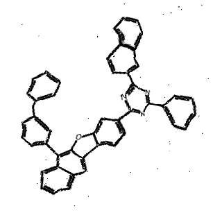 c1ccc(-c2cccc(-c3c4ccccc4cc4c3oc3cc(-c5nc(-c6ccccc6)nc(-c6ccc7ccccc7c6)n5)ccc34)c2)cc1